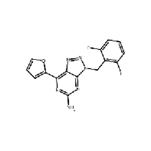 Nc1nc(-c2ccco2)c2nnn(Cc3c(F)cccc3F)c2n1